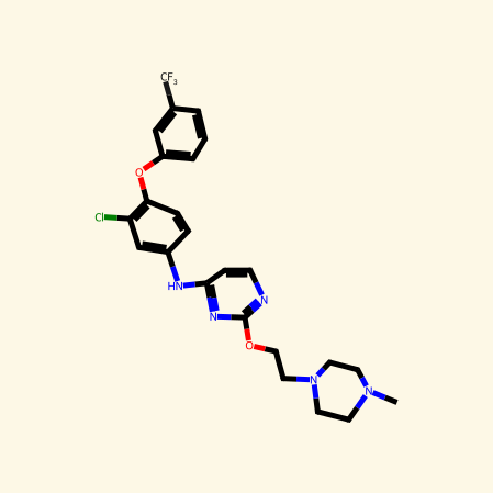 CN1CCN(CCOc2nccc(Nc3ccc(Oc4cccc(C(F)(F)F)c4)c(Cl)c3)n2)CC1